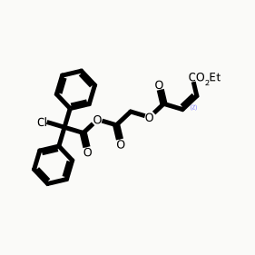 CCOC(=O)/C=C\C(=O)OCC(=O)OC(=O)C(Cl)(c1ccccc1)c1ccccc1